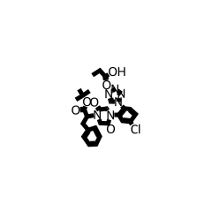 CC(C)(C)OC(=O)C(Cc1ccccc1)N1CC(=O)N(c2cc(Cl)ccc2-n2cnnn2)CC1=O.CCC(=O)O